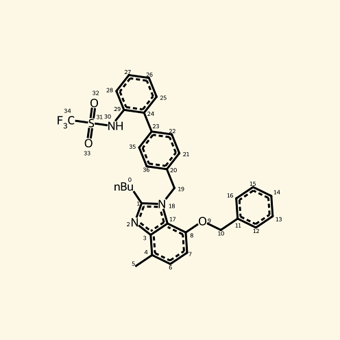 CCCCc1nc2c(C)ccc(OCc3ccccc3)c2n1Cc1ccc(-c2ccccc2NS(=O)(=O)C(F)(F)F)cc1